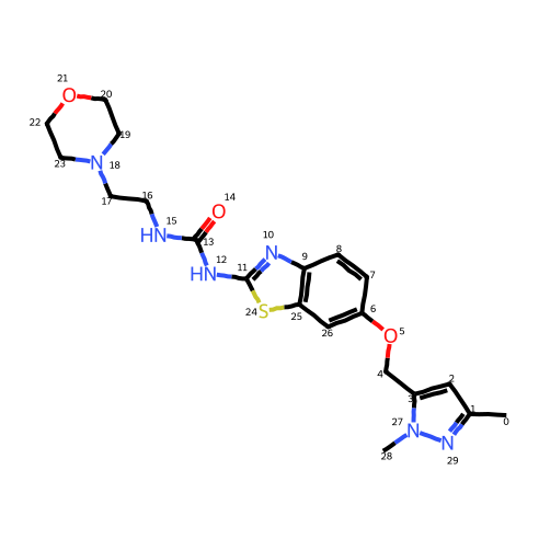 Cc1cc(COc2ccc3nc(NC(=O)NCCN4CCOCC4)sc3c2)n(C)n1